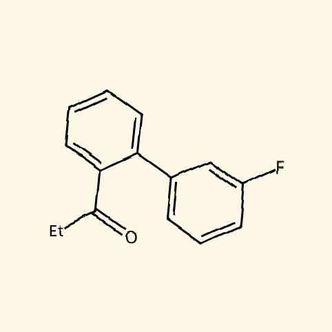 CCC(=O)c1ccccc1-c1cccc(F)c1